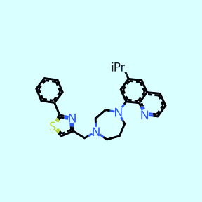 CC(C)c1cc(N2CCCN(Cc3csc(-c4ccccc4)n3)CC2)c2ncccc2c1